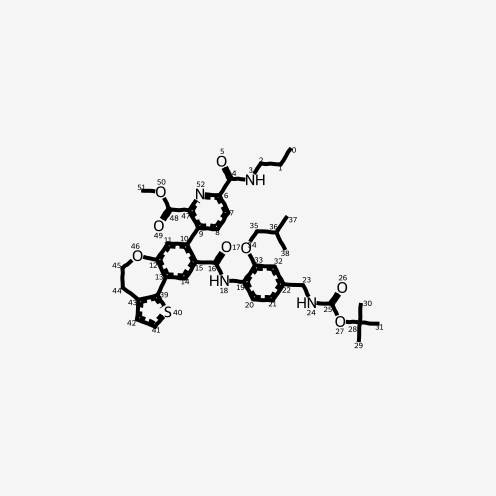 CCCNC(=O)c1ccc(-c2cc3c(cc2C(=O)Nc2ccc(CNC(=O)OC(C)(C)C)cc2OCC(C)C)-c2sccc2CCO3)c(C(=O)OC)n1